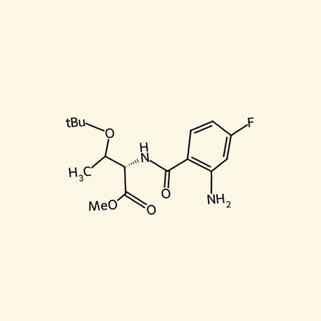 COC(=O)[C@@H](NC(=O)c1ccc(F)cc1N)C(C)OC(C)(C)C